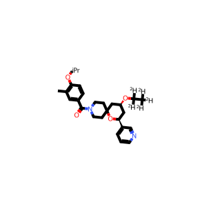 [2H]C([2H])([2H])C([2H])([2H])O[C@H]1C[C@@H](c2cccnc2)OC2(CCN(C(=O)c3ccc(OC(C)C)c(C)c3)CC2)C1